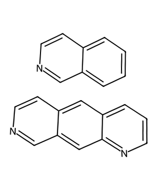 c1ccc2cnccc2c1.c1cnc2cc3cnccc3cc2c1